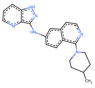 CC1CCN(c2nccc3cc(Nc4n[nH]c5cccnc45)ccc23)CC1